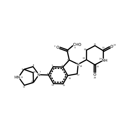 O=CC(=O)C1c2cc(N3CC4CC3CN4)ccc2CN1C1CCC(=O)NC1=O